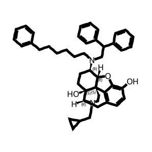 Oc1ccc2c3c1O[C@H]1[C@H](N(CCCCCCc4ccccc4)CC(c4ccccc4)c4ccccc4)CC[C@@]4(O)[C@@H](C2)N(CC2CC2)CC[C@]314